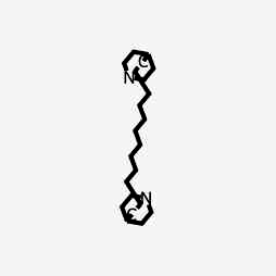 C(CCCCC1CC2CCN1CC2)CCCC1CC2CCN1CC2